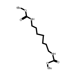 CC(C)(C)OC(=O)NCCC[CH]CCCNC(=O)OC(C)(C)C